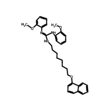 COc1ccccc1/N=C(/NCCCCCCCCOc1cccc2ccccc12)Nc1ccccc1OC